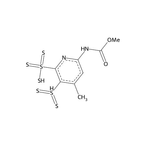 COC(=O)Nc1cc(C)c([SH](=S)=S)c(S(=S)(=S)S)n1